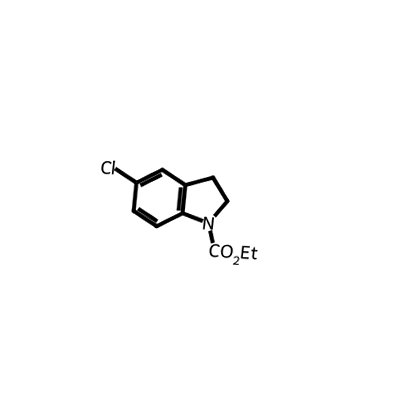 CCOC(=O)N1CCc2cc(Cl)ccc21